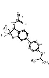 CC(C)Oc1ccc(-c2ccc3c(c2)CC(C)(C)C3OC(N)=O)cc1